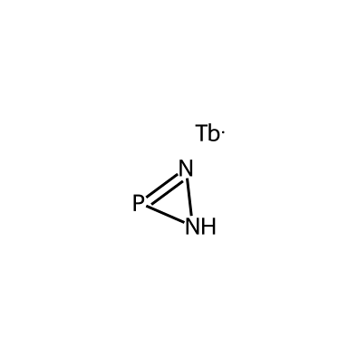 N1=PN1.[Tb]